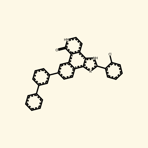 O=c1[nH]ccc2c3[nH]c(-c4ccccc4Cl)nc3c3ccc(-c4cccc(-c5ccccc5)c4)cc3c12